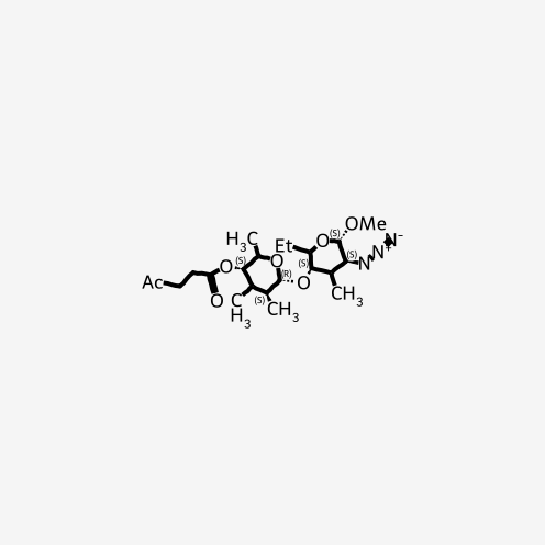 CCC1O[C@H](OC)[C@@H](N=[N+]=[N-])C(C)[C@@H]1O[C@H]1OC(C)[C@@H](OC(=O)CCC(C)=O)C(C)[C@@H]1C